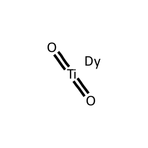 [Dy].[O]=[Ti]=[O]